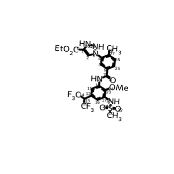 CCOC(=O)C1=CN(c2cc(C(=O)Nc3cc(C(C(F)(F)F)C(F)(F)F)cc(NS(C)(=O)=O)c3OC)ccc2C)NN1